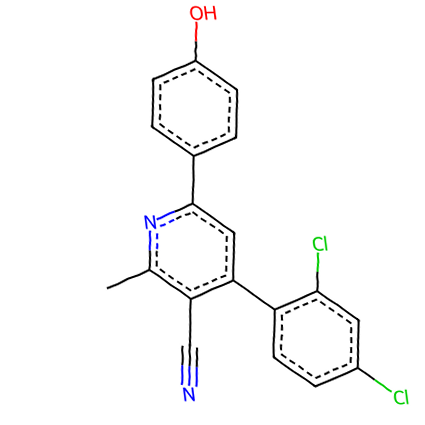 Cc1nc(-c2ccc(O)cc2)cc(-c2ccc(Cl)cc2Cl)c1C#N